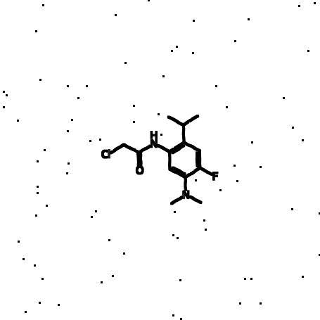 CC(C)c1cc(F)c(N(C)C)cc1NC(=O)CCl